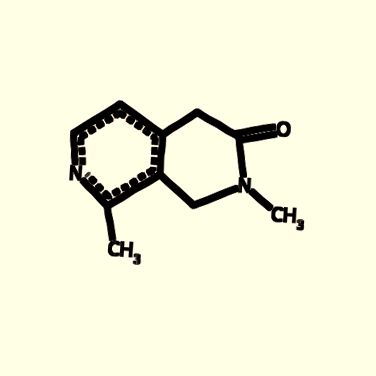 Cc1nccc2c1CN(C)C(=O)C2